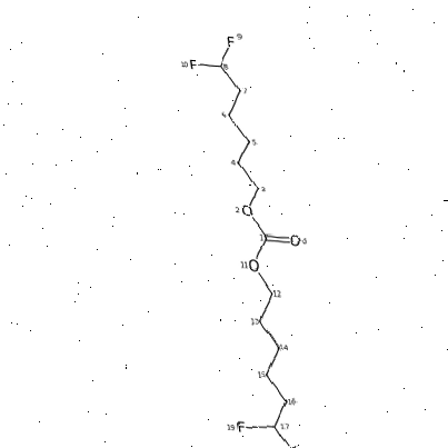 O=C(OCCCCCC(F)F)OCCCCCC(F)F